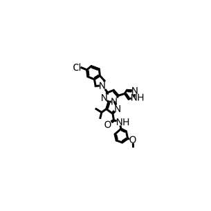 COc1cccc(NC(=O)c2nn3c(-c4cn[nH]c4)cc(N4Cc5ccc(Cl)cc5C4)nc3c2C(C)C)c1